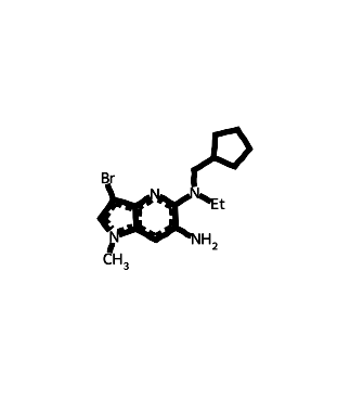 CCN(CC1CCCC1)c1nc2c(Br)cn(C)c2cc1N